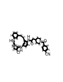 N#Cc1ccc(C(=O)N2CCC(CC(=O)Nc3ccc4cc3CCc3cccc(c3)Nc3ncc(Cl)c(n3)N4)CC2)cc1